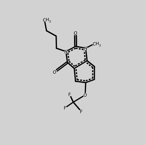 CCCCn1c(=O)c2cc(OC(F)(F)F)ccc2n(C)c1=O